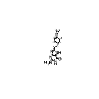 Nc1nc2nc(CCc3ccc(C4CC4)cc3)[nH]c2c(=O)[nH]1